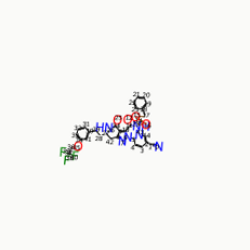 N#Cc1ccc(-n2nc3c(c2C(=O)NS(=O)(=O)Cc2ccccc2)C(=O)N[C@@H](CCc2cccc(OCC(F)(F)F)c2)C3)nc1